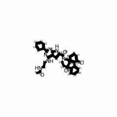 CC(=O)NCCNc1nc(-c2ccccc2)nc2[nH]c(C(=O)N3CCC(O)(c4ccccc4-c4ccccc4Cl)CC3)cc12